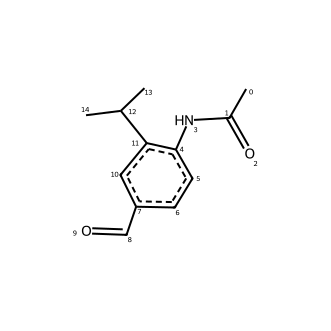 CC(=O)Nc1ccc(C=O)cc1C(C)C